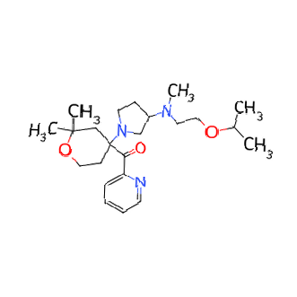 CC(C)OCCN(C)C1CCN(C2(C(=O)c3ccccn3)CCOC(C)(C)C2)C1